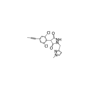 CC#Cc1cc(Cl)c(C2C(=O)NN(Cc3ccn(C)n3)C2=O)c(Cl)c1